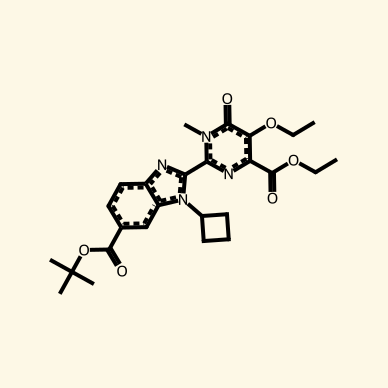 CCOC(=O)c1nc(-c2nc3ccc(C(=O)OC(C)(C)C)cc3n2C2CCC2)n(C)c(=O)c1OCC